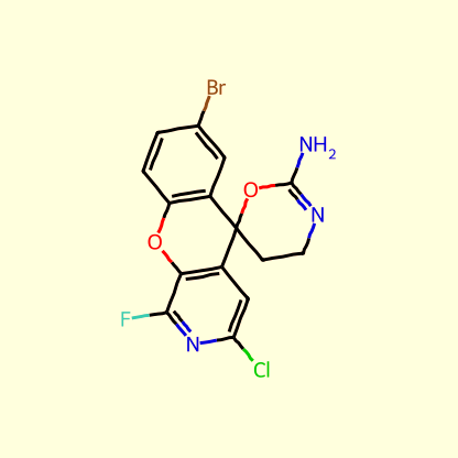 NC1=NCCC2(O1)c1cc(Br)ccc1Oc1c2cc(Cl)nc1F